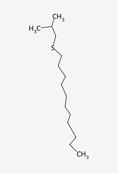 CCCCCCCCCCCSCC(C)C